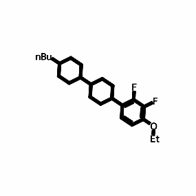 CCCCC1CCC(C2CCC(c3ccc(OCC)c(F)c3F)CC2)CC1